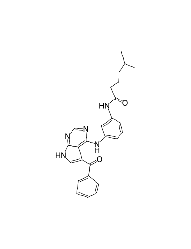 CC(C)CCCC(=O)Nc1cccc(Nc2ncnc3[nH]cc(C(=O)c4ccccc4)c23)c1